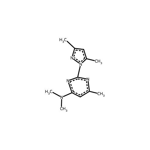 Cc1cc(N(C)C)nc(-n2nc(C)cc2C)n1